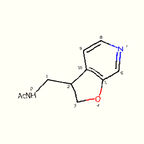 CC(=O)NCC1COc2cnccc21